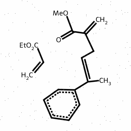 C=C(CC=C(C)c1ccccc1)C(=O)OC.C=CC(=O)OCC